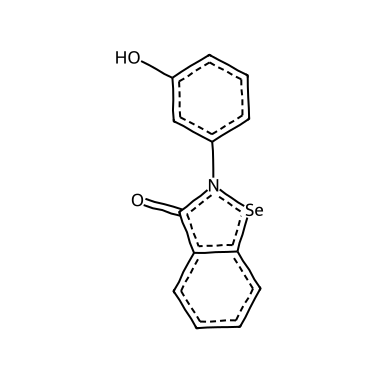 O=c1c2ccccc2[se]n1-c1cccc(O)c1